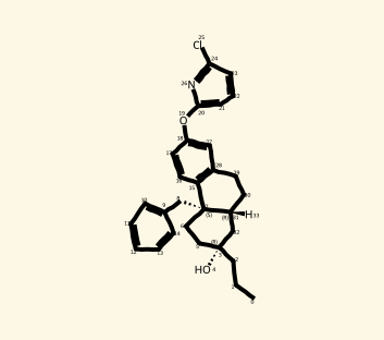 CCC[C@@]1(O)CC[C@@]2(Cc3ccccc3)c3ccc(Oc4cccc(Cl)n4)cc3CC[C@@H]2C1